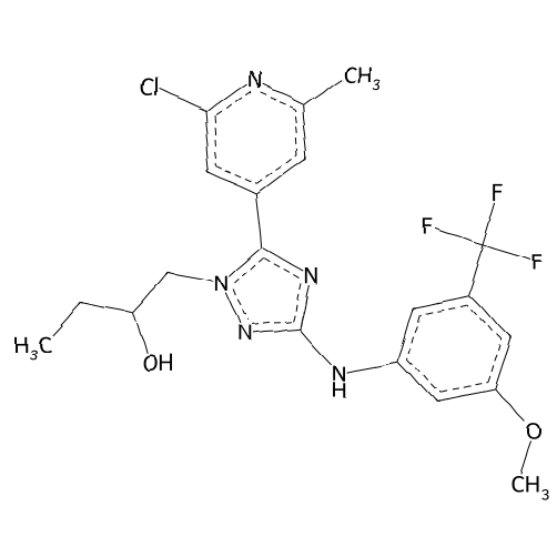 CCC(O)Cn1nc(Nc2cc(OC)cc(C(F)(F)F)c2)nc1-c1cc(C)nc(Cl)c1